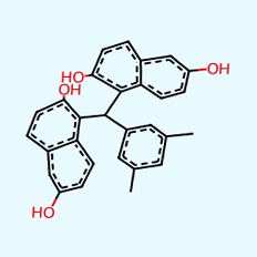 Cc1cc(C)cc(C(c2c(O)ccc3cc(O)ccc23)c2c(O)ccc3cc(O)ccc23)c1